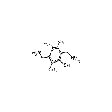 Cc1c(C)c(CN)c(C)c(C)c1CN